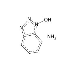 N.On1nnc2ccccc21